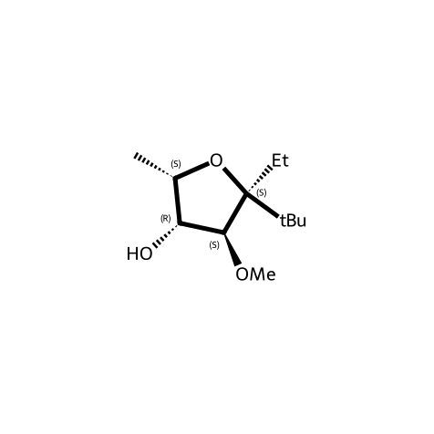 CC[C@@]1(C(C)(C)C)O[C@@H](C)[C@@H](O)[C@@H]1OC